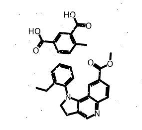 CCc1ccccc1N1CCc2cnc3ccc(C(=O)OC)cc3c21.Cc1ccc(C(=O)O)cc1C(=O)O